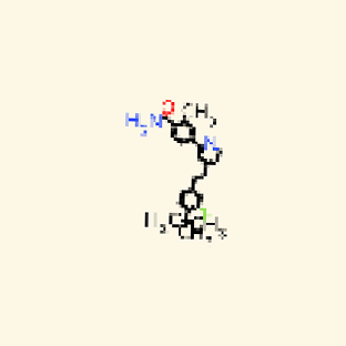 Cc1cc(-c2cc(CCc3ccc(C(C)(C)C)c(F)c3)ccn2)ccc1C(N)=O